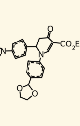 CCOC(=O)C1=CN(c2ccc(C3OCCO3)cc2)C(c2ccc(N(C)C)cc2)CC1=O